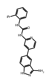 CC(C)c1ccccc1NC(=O)Nc1cc(-c2ccc3[nH]nc(N)c3c2)ccn1